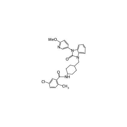 COc1ccc(-n2c(=O)n(CC3CCC(NC(=O)c4cc(Cl)ccc4C)CC3)c3ccccc32)cn1